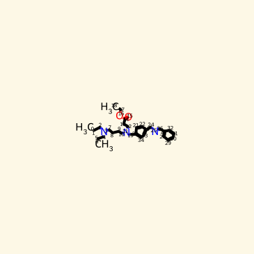 CCCN(CCC)CCCCN(CCC(=O)OCC)Cc1ccc(C/N=C/c2ccccc2)cc1